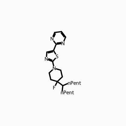 CCCCCC(CCCCC)C1(F)CCN(c2ncc(-c3ncccn3)s2)CC1